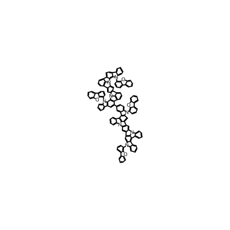 c1ccc2c(c1)oc1c(-n3c4ccccc4c4c5c6ccccc6n6c7cc8c9cc%10c(c%11cc(-c%12cc%13c%14ccccc%14n(-c%14cccc%15c%14oc%14ccccc%14%15)c%13c%13c%12c%12cccc%14c%15cc%16c(cc%15n%13c%14%12)c%12cccc%13c%14ccc%15c%17ccccc%17n(-c%17cccc%18c%17oc%17ccccc%17%18)c%15c%14n%16c%12%13)ccc%11n%10-c%10cccc%11c%10oc%10ccccc%10%11)c%10c%11ccccc%11n(c8cc7c(cc43)c56)c9%10)cccc12